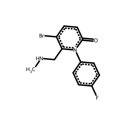 CNCc1c(Br)ccc(=O)n1-c1ccc(F)cc1